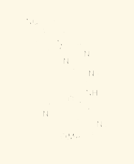 COc1cnc(C)cc1-c1cc(C)ncc1C(=O)Nc1nc2ncc(N3CCC(C#N)CC3)nc2s1